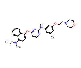 CC(C)(C)N(C(=O)O)c1ccc(Oc2ccnc(Nc3cc(C#N)cc(OCCN4CCOCC4)c3)n2)c2ccccc12